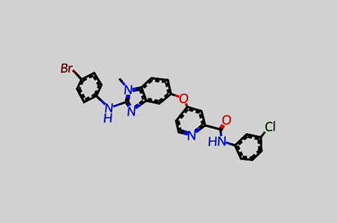 Cn1c(Nc2ccc(Br)cc2)nc2cc(Oc3ccnc(C(=O)Nc4cccc(Cl)c4)c3)ccc21